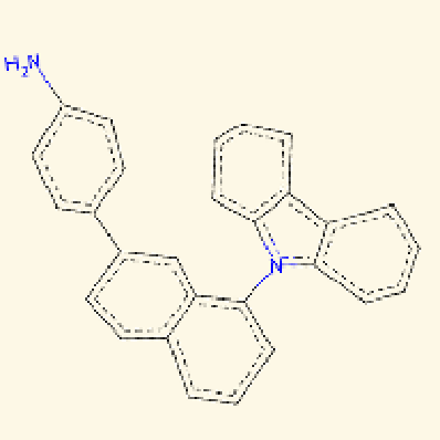 Nc1ccc(-c2ccc3cccc(-n4c5ccccc5c5ccccc54)c3c2)cc1